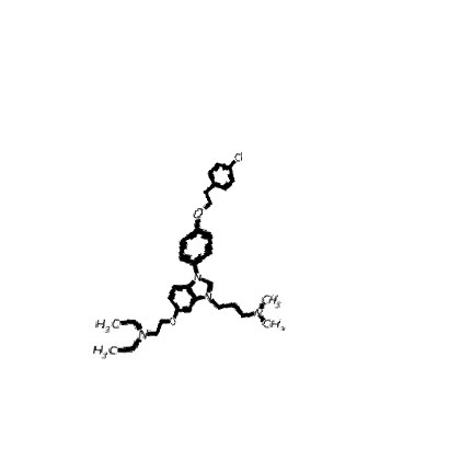 CCN(CC)CCOc1ccc2c(c1)N(CCCN(C)C)CN2c1ccc(OCCc2ccc(Cl)cc2)cc1